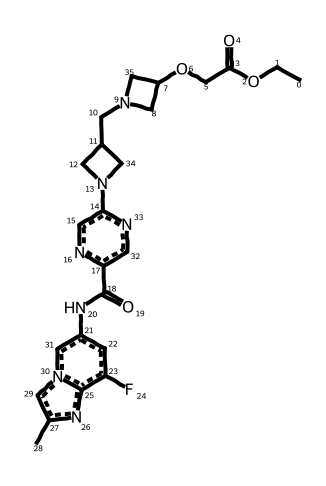 CCOC(=O)COC1CN(CC2CN(c3cnc(C(=O)Nc4cc(F)c5nc(C)cn5c4)cn3)C2)C1